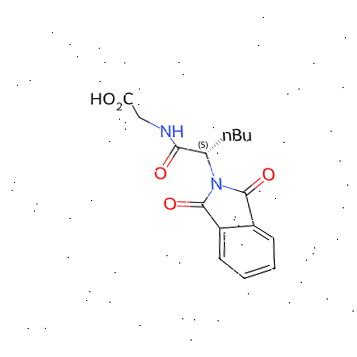 CCCC[C@@H](C(=O)NCC(=O)O)N1C(=O)c2ccccc2C1=O